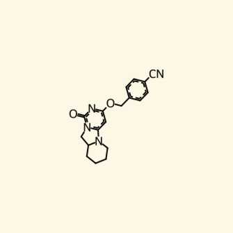 N#Cc1ccc(COc2cc3n(c(=O)n2)CC2CCCCN32)cc1